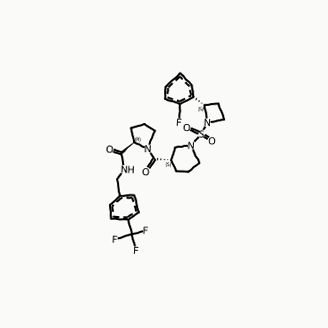 O=C(NCc1ccc(C(F)(F)F)cc1)[C@H]1CCCN1C(=O)[C@H]1CCCN(S(=O)(=O)N2CC[C@H]2c2ccccc2F)C1